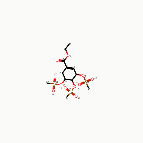 CCOC(=O)C1=CC(OS(C)(=O)=O)C(OS(C)(=O)=O)C(OS(C)(=O)=O)C1